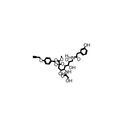 C#CCOc1ccc(CO[C@]2(C(=O)OC)C[C@H](O)[C@@H](NC(=O)CO)[C@H]([C@H](O)[C@H](O)CNC(=O)Cc3cccc(O)c3)O2)cc1